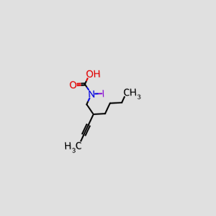 CC#CC(CCCC)CN(I)C(=O)O